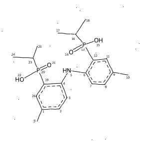 Cc1ccc(Nc2ccc(C)cc2P(=O)(O)C(C)C)c(P(=O)(O)C(C)C)c1